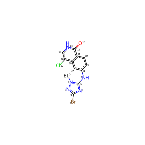 CCn1nc(Br)nc1Nc1ccc2c(=O)[nH]cc(Cl)c2c1